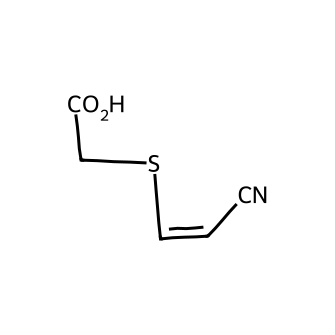 N#C/C=C\SCC(=O)O